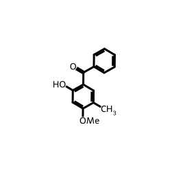 COc1cc(O)c(C(=O)c2ccccc2)cc1C